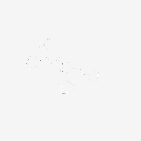 Cc1ccccc1[C@H](CC(=O)O)NC(=O)c1cc(OCC2CCCO2)n(-c2ccccc2F)n1